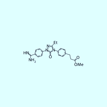 CCc1nn(-c2ccc(C(=N)N)cc2)c(=O)n1-c1ccc(CCC(=O)OC)cc1